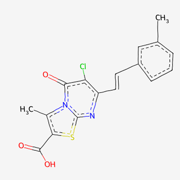 Cc1cccc(/C=C/c2nc3sc(C(=O)O)c(C)n3c(=O)c2Cl)c1